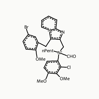 CCCCC[N+](C=O)(Cc1nc2ccccn2c1Cc1cc(Br)ccc1OC)c1ccc(OC)c(OC)c1Cl